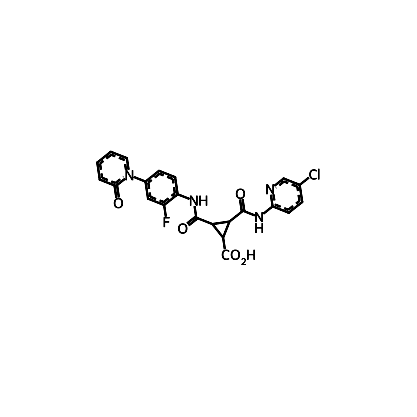 O=C(O)C1C(C(=O)Nc2ccc(Cl)cn2)C1C(=O)Nc1ccc(-n2ccccc2=O)cc1F